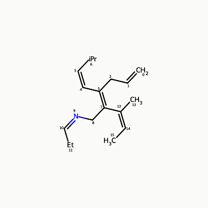 C=CCC(/C=C\C(C)C)=C(C/N=C\CC)\C(C)=C/C